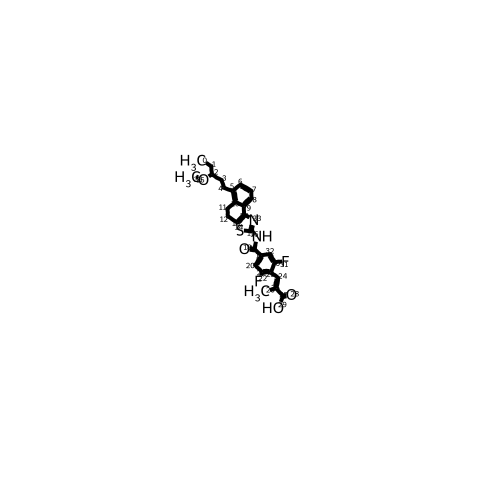 CCC(CCc1cccc2c1CCc1sc(NC(=O)c3cc(F)c(C=C(C)C(=O)O)c(F)c3)nc1-2)OC